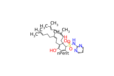 CCCCCC1=CC(O)=C(CC=C(C)CCC=C(C)C)C(O)(CC=C(C)CCC=C(C)C)C1S(=O)(=O)Nc1ncccn1